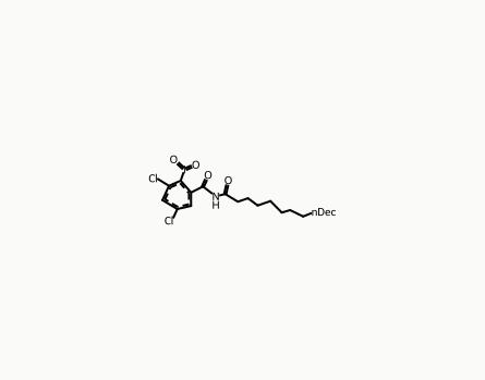 CCCCCCCCCCCCCCCCCC(=O)NC(=O)c1cc(Cl)cc(Cl)c1I(=O)=O